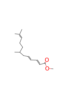 COC(=O)C=CC=CCC(C)CCC=C(C)C